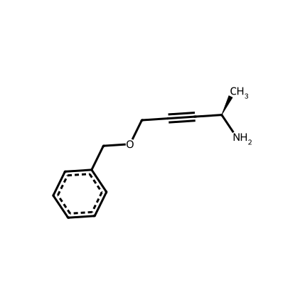 C[C@@H](N)C#CCOCc1ccccc1